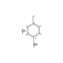 Cc1ccc(S)cc1.[Zn]